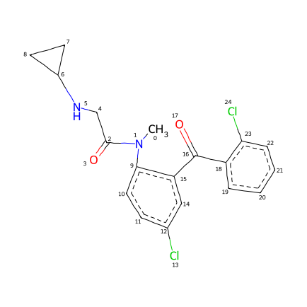 CN(C(=O)CNC1CC1)c1ccc(Cl)cc1C(=O)c1ccccc1Cl